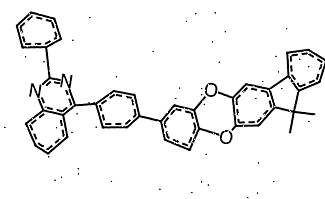 CC1(C)c2ccccc2-c2cc3c(cc21)Oc1ccc(-c2ccc(-c4nc(-c5ccccc5)nc5ccccc45)cc2)cc1O3